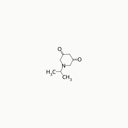 CC(C)N1CC(=O)CC(=O)C1